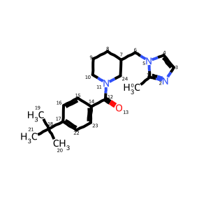 Cc1nccn1CC1CCCN(C(=O)c2ccc(C(C)(C)C)cc2)C1